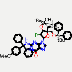 C=C[C@]1(CO[Si](c2ccccc2)(c2ccccc2)C(C)(C)C)O[C@@H](n2cnc3c(=O)[nH]c(NC(c4ccccc4)(c4ccccc4)c4ccc(OC)cc4)nc32)[C@@H](F)[C@@H]1O[Si](C)(C)C(C)(C)C